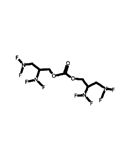 O=C(OCC(CN(F)F)N(F)F)OCC(CN(F)F)N(F)F